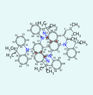 C=C(/C=C\C(C)C)N(c1cc(C#N)c(-c2c(C#N)cc(N3c4ccccc4C(C)(C)c4ccccc43)cc2N2c3ccccc3C(C)(C)c3ccccc32)c(N2c3ccccc3C(C)(C)c3ccccc32)c1)c1ccccc1CC